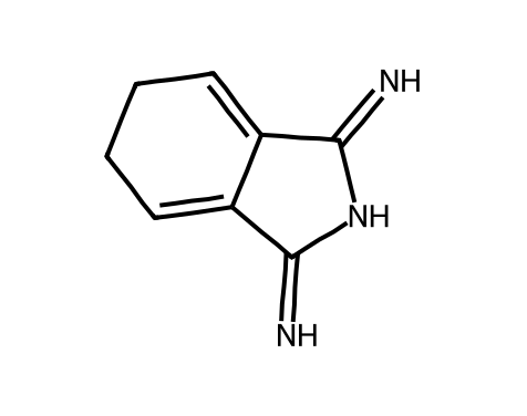 N=C1NC(=N)C2=CCCC=C12